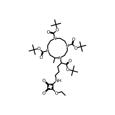 CCOc1c(NCCCC(C(=O)OC(C)(C)C)N2CCN(C(=O)OC(C)(C)C)CCN(C(=O)OC(C)(C)C)CCN(C(=O)OC(C)(C)C)CC2C)c(=O)c1=O